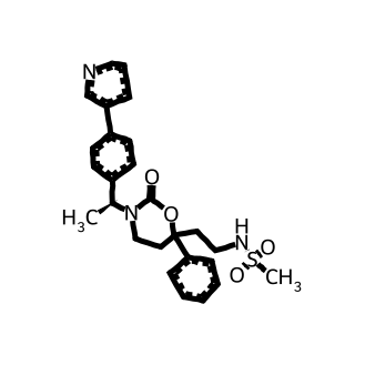 C[C@@H](c1ccc(-c2cccnc2)cc1)N1CCC(CCNS(C)(=O)=O)(c2ccccc2)OC1=O